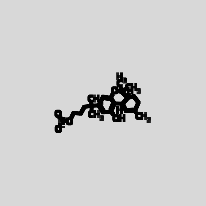 CC1=C[C@H]2c3c(O)cc(C(C)(C)CCCO[N+](=O)[O-])cc3OC(C)(C)[C@@H]2CC1